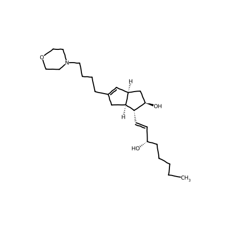 CCCCC[C@H](O)/C=C/[C@@H]1[C@H]2CC(CCCCN3CCOCC3)=C[C@H]2C[C@H]1O